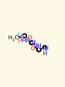 C=C(F)C(=O)N1CCC[C@H](C(=O)Nc2ccc(NC(=O)c3cccc(-c4ccn[nH]4)n3)nc2)C1